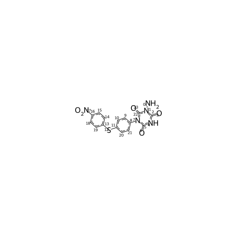 Nn1c(=O)[nH]c(=O)n(-c2ccc(Sc3ccc([N+](=O)[O-])cc3)cc2)c1=O